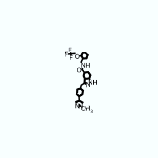 Cn1cc(-c2ccc(Cc3n[nH]c4ccc(C(=O)NCc5ccccc5OCC(F)(F)F)cc34)cc2)cn1